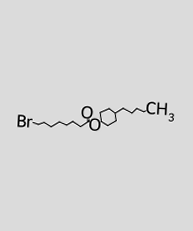 CCCCCC1CCC(OC(=O)CCCCCCCBr)CC1